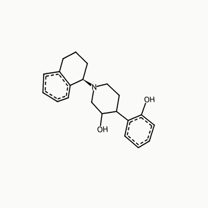 Oc1ccccc1C1CCN([C@@H]2CCCc3ccccc32)CC1O